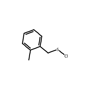 Cc1ccccc1CSCl